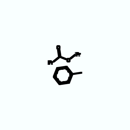 CC(C)OC(=O)C(C)C.Cc1ccccc1